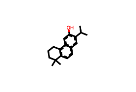 CC(C)c1cc2ccc3c(c2cc1O)CCCC3(C)C